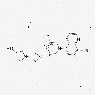 C[C@@H]1CN(c2ccc(C#N)c3ncccc23)C[C@H](CN2CC(N3CCC(O)C3)C2)O1